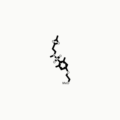 COCCOc1cc(C)c(S(=O)(=O)N(C)CCC2OC(C)O2)c(C)c1